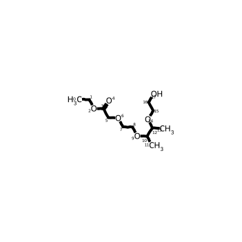 CCOC(=O)COCCOC(C)C(C)OCCO